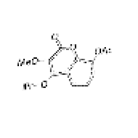 COc1c(OC(C)C)c2cccc(OC(C)=O)c2oc1=O